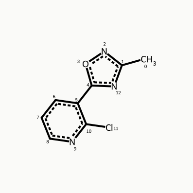 Cc1noc(-c2cccnc2Cl)n1